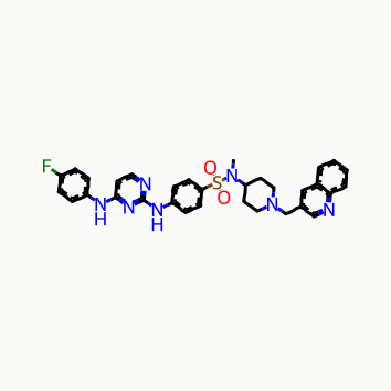 CN(C1CCN(Cc2cnc3ccccc3c2)CC1)S(=O)(=O)c1ccc(Nc2nccc(Nc3ccc(F)cc3)n2)cc1